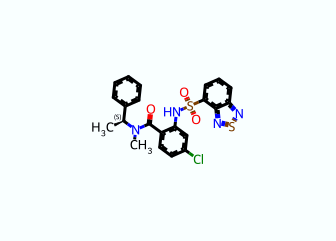 C[C@@H](c1ccccc1)N(C)C(=O)c1ccc(Cl)cc1NS(=O)(=O)c1cccc2nsnc12